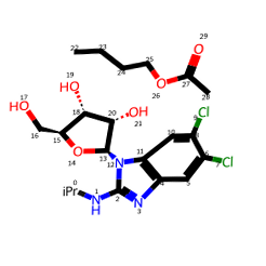 CC(C)Nc1nc2cc(Cl)c(Cl)cc2n1[C@H]1O[C@@H](CO)[C@H](O)[C@@H]1O.CCCCOC(C)=O